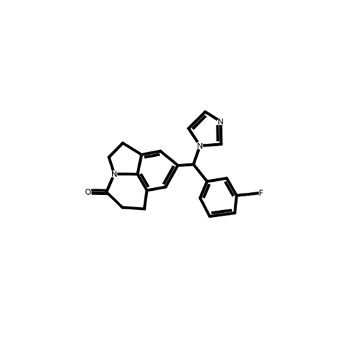 O=C1CCc2cc(C(c3cccc(F)c3)n3ccnc3)cc3c2N1CC3